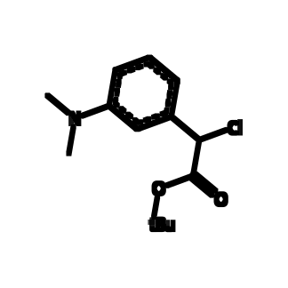 CN(C)c1cccc(C(Cl)C(=O)OC(C)(C)C)c1